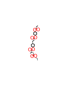 C=CC(=O)Oc1ccc(OC(=O)/C=C/c2ccc(OC(=O)C(=C)CC(=O)OCCC)cc2)cc1